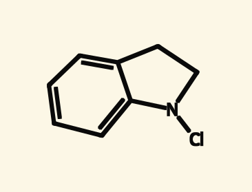 ClN1CCc2ccccc21